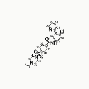 CCN1CCN(S(=O)(=O)c2ccc(C(=O)Nc3ccc(Cl)c(-c4ccccn4)c3)cc2)CC1